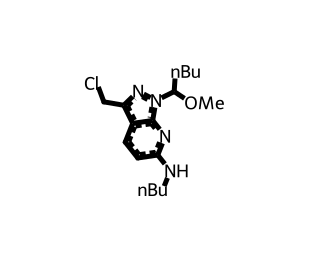 CCCCNc1ccc2c(CCl)nn(C(CCCC)OC)c2n1